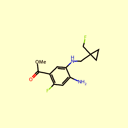 COC(=O)c1cc(NCC2(CF)CC2)c(N)cc1F